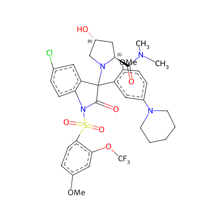 COc1ccc(S(=O)(=O)N2C(=O)C(c3cc(N4CCCCC4)ccc3OC)(N3C[C@H](O)C[C@H]3C(=O)N(C)C)c3cc(Cl)ccc32)c(OC(F)(F)F)c1